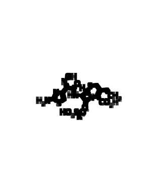 C=CC1=C(C(=O)O)N2C(=O)[C@@H](NC(=O)/C(=N\O)c3csc(N)n3)[C@H]2SC1.O=S(=O)([O-])O.[K+]